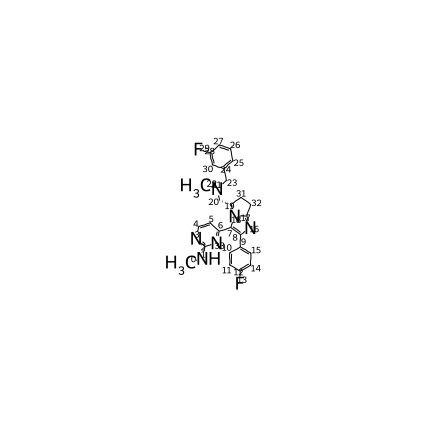 CNc1nccc(-c2c(-c3ccc(F)cc3)nc3n2[C@H](CN(C)Cc2cccc(F)c2)CC3)n1